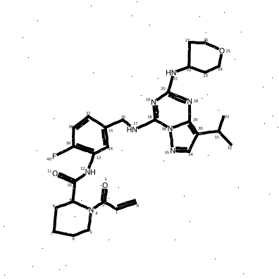 C=CC(=O)N1CCCCC1C(=O)Nc1cc(CNc2nc(NC3CCOCC3)nc3c(C(C)C)cnn23)ccc1F